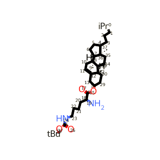 CC(C)CCCC1CC[C@H]2[C@]3(C)CC=C4CC(OC(=O)C(N)CCCCNC(=O)OC(C)(C)C)CC[C@]4(C)[C@H]3CC[C@]12C